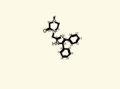 CN1CCN(Cc2nc(-c3ccccc3)c(-c3ccccc3)[nH]2)C(=O)C1